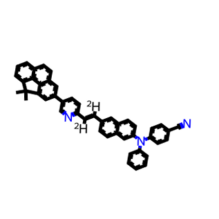 [2H]/C(=C(/[2H])c1ccc(-c2cc3c4c(ccc5cccc(c54)C3(C)C)c2)cn1)c1ccc2cc(N(c3ccccc3)c3ccc(C#N)cc3)ccc2c1